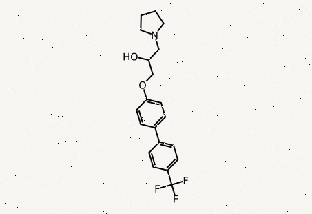 OC(COc1ccc(-c2ccc(C(F)(F)F)cc2)cc1)CN1CCCC1